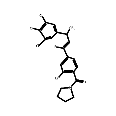 O=C(c1ccc(C(F)=CC(c2cc(Cl)c(Cl)c(Cl)c2)C(F)(F)F)cc1Br)N1CCCC1